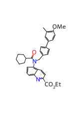 CCOC(=O)c1ccc2c(N(Cc3ccc(-c4ccc(OC)c(C)c4)cc3)C(=O)C3CCCCC3)cccc2n1